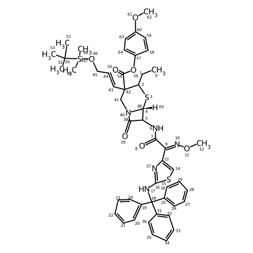 CCC1S[C@@H]2C(NC(=O)C(=NOC)c3csc(NC(c4ccccc4)(c4ccccc4)c4ccccc4)n3)C(=O)N2CC1(C=CCO[Si](C)(C)C(C)(C)C)C(=O)Oc1ccc(OC)cc1